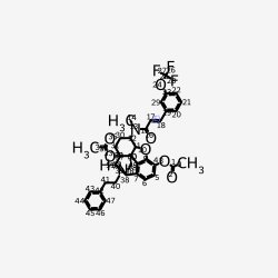 CC(=O)Oc1ccc2c3c1OC1C(N(C)C(=O)/C=C/c4cccc(OC(F)(F)F)c4)CC[C@@]4(OC(C)=O)[C@@H](C2)N(CCc2ccccc2)CC[C@]314